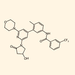 Cc1ccc(NC(=O)c2cccc(C(F)(F)F)c2)cc1-c1cc(N2CCOCC2)nc(N2CC(O)CC2=O)c1